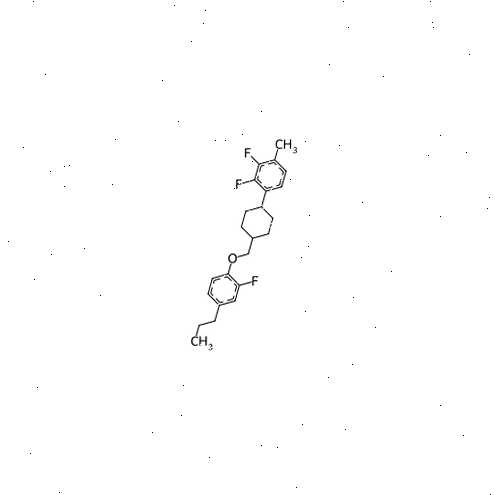 CCCc1ccc(OCC2CCC(c3ccc(C)c(F)c3F)CC2)c(F)c1